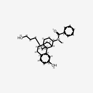 CN(C(=O)c1ccccc1)C1CCC23CCC1C21CCN(CCCO)C3Cc2ccc(O)cc21